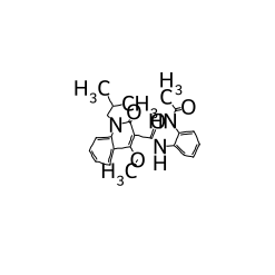 COc1c(C(=O)Nc2ccccc2NC(C)=O)c(=O)n(CC(C)C)c2ccccc12